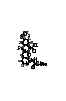 CCC(=O)N(C(=O)N(CC)Cc1ccnc(NC(=O)OC)c1)c1ccc(SC(F)(F)F)cc1